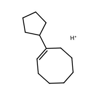 C1=C(C2CCCC2)CCCCCC1.[H+]